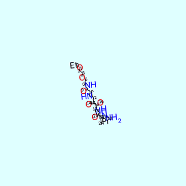 CCOCCOCCNC(=O)CNCC(=O)C(=O)CNC(=O)[C@@H](NN)C(C)C